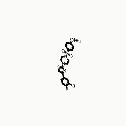 COc1ccc(S(=O)(=O)N2CCN(c3nc(-c4ccc(F)c(Cl)c4)cs3)CC2)cc1